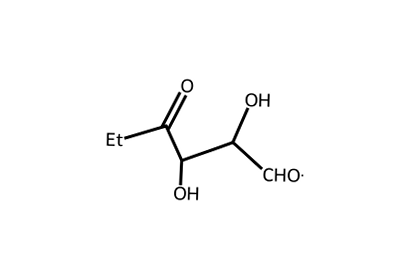 [CH2]CC(=O)C(O)C(O)[C]=O